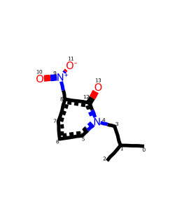 CC(C)Cn1cccc([N+](=O)[O-])c1=O